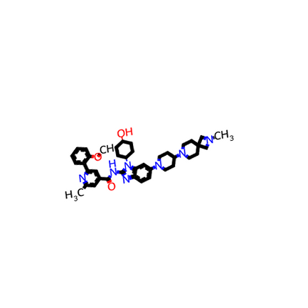 COc1ccccc1-c1cc(C(=O)Nc2nc3ccc(N4CCC(N5CCC6(CC5)CN(C)C6)CC4)cc3n2[C@H]2CC[C@@H](O)CC2)cc(C)n1